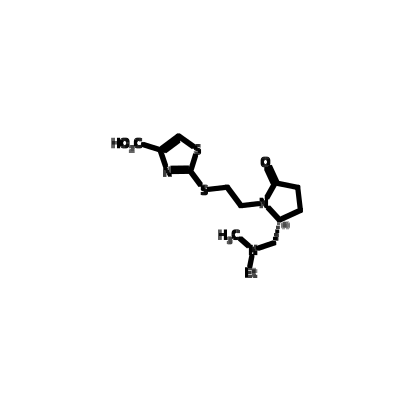 CCN(C)C[C@H]1CCC(=O)N1CCSc1nc(C(=O)O)cs1